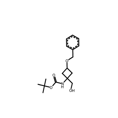 CC(C)(C)OC(=O)NC1(CO)CC(OCc2ccccc2)C1